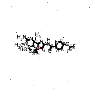 CN1C(N)=N[C@](C)(c2nc(NC(=O)c3ccc(OC(F)F)cn3)cs2)[C@@H](C2(C)CC2)S1(O)O